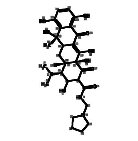 CN(C)[C@@H]1C(O)C(C(=O)NCN2CCCC2)C(=O)[C@@]2(O)C(O)=C3C(=O)c4c(O)ccc(O)c4[C@@](C)(O)C3C[C@@H]12